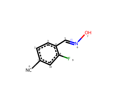 N#Cc1ccc(/C=N/O)c(F)c1